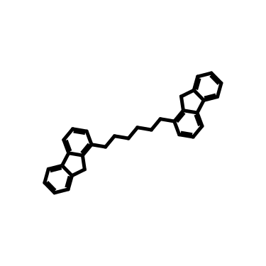 c1ccc2c(c1)Cc1c(CCCCCCc3cccc4c3Cc3ccccc3-4)cccc1-2